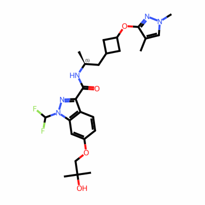 Cc1cn(C)nc1OC1CC(C[C@H](C)NC(=O)c2nn(C(F)F)c3cc(OCC(C)(C)O)ccc23)C1